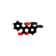 COc1ccc2c(c1OC)C(O)C(c1ccccc1)C(O)O2